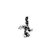 CC1(C)O[C@@H]2[C@@H]([C@H](OC(=O)c3ccc(-c4ccccc4)cc3)c3ccc(Cl)cc3)C[C@@H](n3ccc4c(Cl)ncnc43)[C@@H]2O1